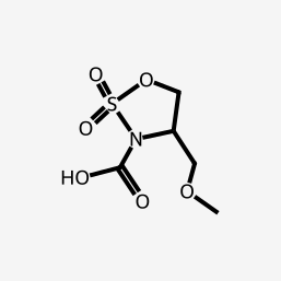 COCC1COS(=O)(=O)N1C(=O)O